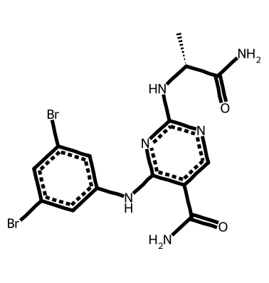 C[C@@H](Nc1ncc(C(N)=O)c(Nc2cc(Br)cc(Br)c2)n1)C(N)=O